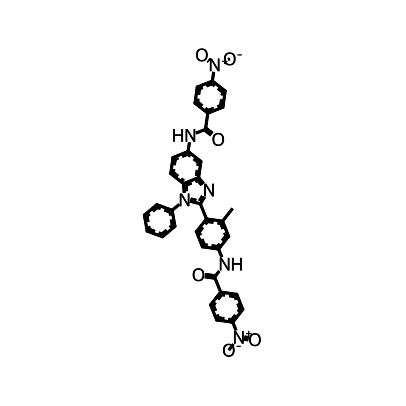 Cc1cc(NC(=O)c2ccc([N+](=O)[O-])cc2)ccc1-c1nc2cc(NC(=O)c3ccc([N+](=O)[O-])cc3)ccc2n1-c1ccccc1